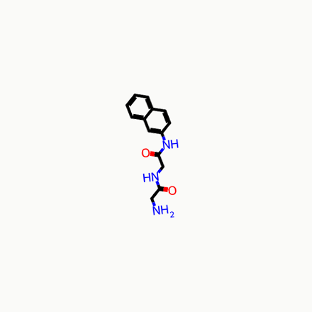 NCC(=O)NCC(=O)Nc1ccc2ccccc2c1